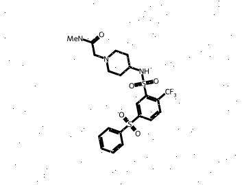 CNC(=O)CN1CCC(NS(=O)(=O)c2cc(S(=O)(=O)c3ccccc3)ccc2C(F)(F)F)CC1